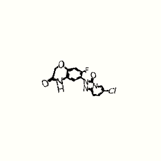 O=C1COc2cc(F)c(-n3nc4ccc(Cl)cn4c3=O)cc2N1